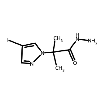 CC(C)(C(=O)NN)n1cc(I)cn1